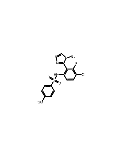 CCn1cnnc1-c1c(NS(=O)(=O)c2ccc(C(C)(C)C)cc2)ccc(Cl)c1F